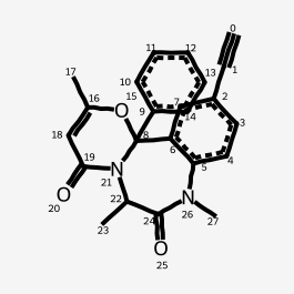 C#Cc1ccc2c(c1)C1(c3ccccc3)OC(C)=CC(=O)N1C(C)C(=O)N2C